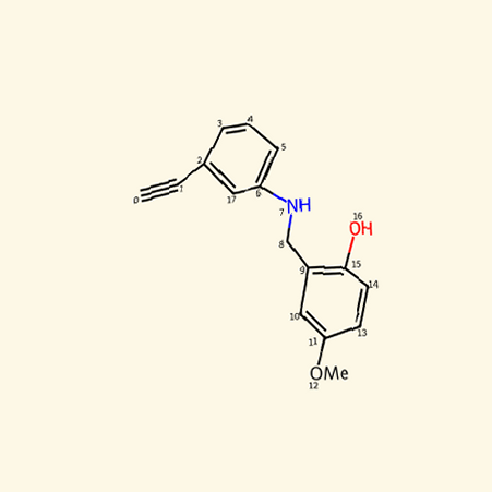 C#Cc1cccc(NCc2cc(OC)ccc2O)c1